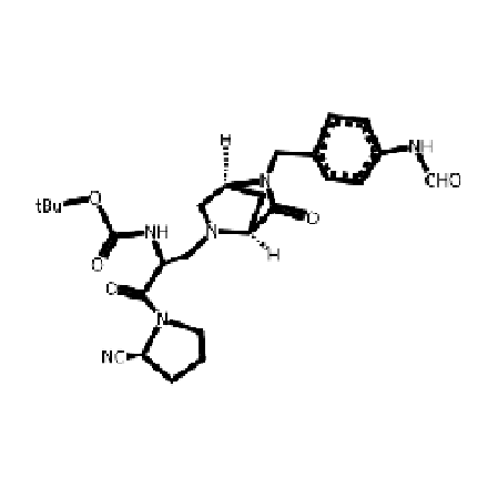 CC(C)(C)OC(=O)N[C@@H](CN1C[C@@H]2C[C@H]1C(=O)N2Cc1ccc(NC=O)cc1)C(=O)N1CCC[C@H]1C#N